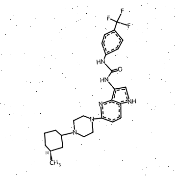 C[C@H]1CCCC(N2CCN(c3ccc4[nH]cc(NC(=O)Nc5ccc(C(F)(F)F)cc5)c4n3)CC2)C1